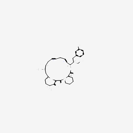 CC[C@H](Cc1cccc(O)c1)[C@@H]1/C=C/C/C=C/C[C@@H](C)[C@H](O)[C@@H](C)[C@@H]2CC[C@@H](C)C(=O)[C@@](O)(O2)C(=O)N2CCCC[C@H]2C(=O)O1